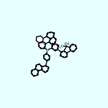 CC1(C)c2ccccc2-c2cccc(-c3cccc(N(c4ccc(-c5cccc6c5ccc5ccccc56)cc4)c4ccccc4-c4cccc5cccc(C6CCCCC6)c45)c3)c21